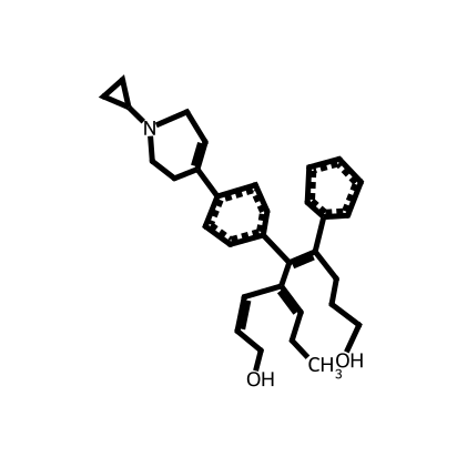 CC/C=C(\C=C/CO)C(=C(\CCCO)c1ccccc1)/c1ccc(C2=CCN(C3CC3)CC2)cc1